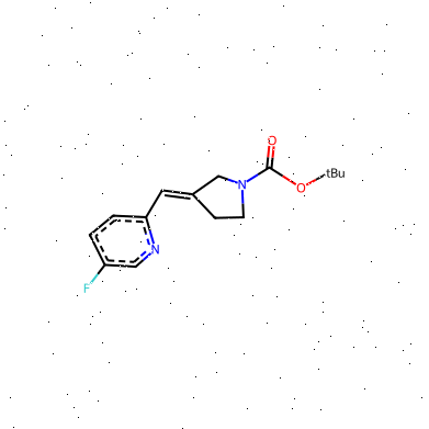 CC(C)(C)OC(=O)N1CC/C(=C\c2ccc(F)cn2)C1